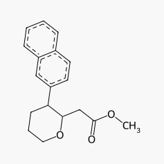 COC(=O)CC1OCCCC1c1ccc2ccccc2c1